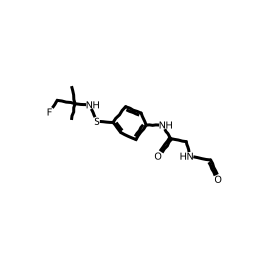 CC(C)(CF)NSc1ccc(NC(=O)CNC=O)cc1